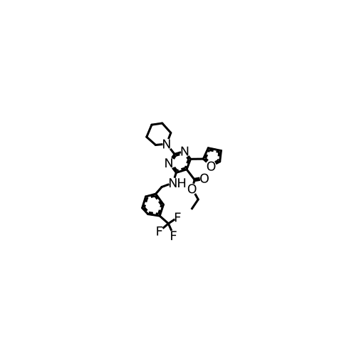 CCOC(=O)c1c(NCc2cccc(C(F)(F)F)c2)nc(N2CCCCC2)nc1-c1ccco1